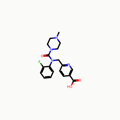 CN1CCN(C(=O)N(Cc2ccc(C(=O)O)cn2)c2ccccc2F)CC1